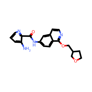 Nc1cccnc1C(=O)Nc1ccc2c(OCC3CCOC3)nccc2c1